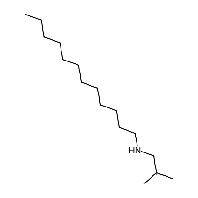 CCCCCCCCCCCCNC[C](C)C